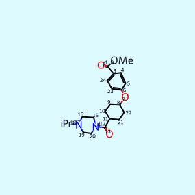 COC(=O)c1ccc(OC2CCC(C(=O)N3CCN(C(C)C)CC3)CC2)cc1